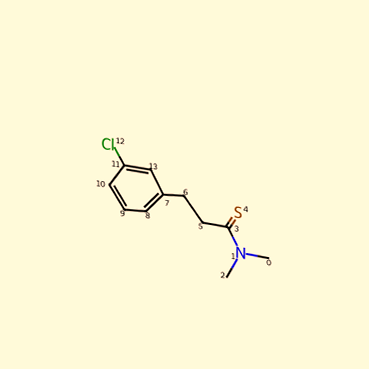 CN(C)C(=S)CCc1cccc(Cl)c1